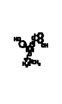 CN(C)CC1(COc2nc3c(c(N4CCCC(O)CC4)n2)CN(C(=O)c2cc(O)cc4cccc(I)c24)C3)CC1